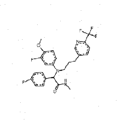 CNC(=O)C(c1ccc(F)cc1)N(CCCc1ccc(C(F)(F)F)nc1)c1ccc(OC)c(F)c1